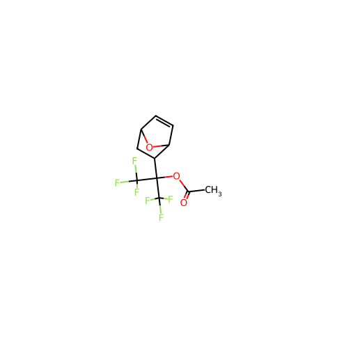 CC(=O)OC(C1CC2C=CC1O2)(C(F)(F)F)C(F)(F)F